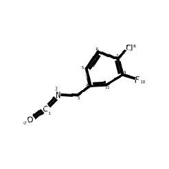 O=C=NCc1ccc(Cl)c(F)c1